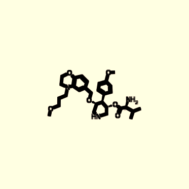 COCCCN1CCOc2ccc(CO[C@H]3CNC[C@@H](OC(=O)[C@@H](N)C(C)C)[C@@H]3c3ccc(OC)cc3)cc21